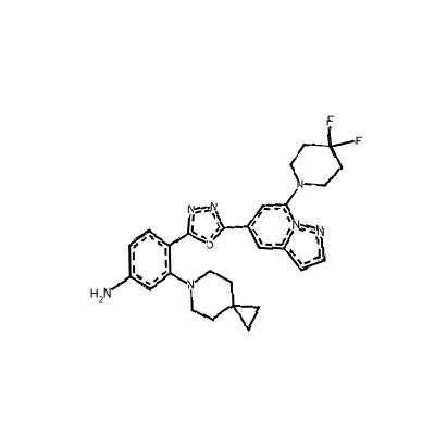 Nc1ccc(-c2nnc(-c3cc(N4CCC(F)(F)CC4)n4nccc4c3)o2)c(N2CCC3(CC2)CC3)c1